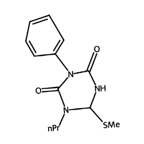 CCCN1C(=O)N(c2ccccc2)C(=O)NC1SC